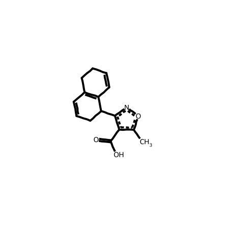 Cc1onc(C2CC=CC3=C2C=CCC3)c1C(=O)O